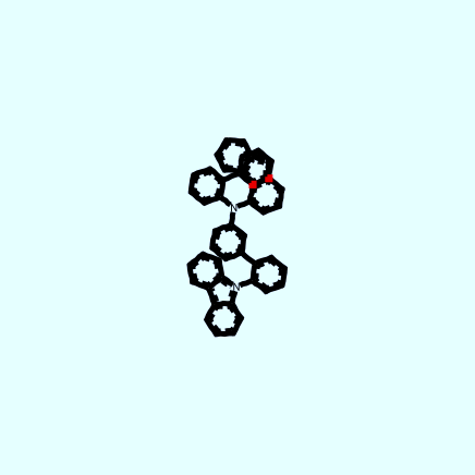 c1ccc(-c2ccccc2N(c2cccc(-c3ccccc3-n3c4ccccc4c4ccccc43)c2)c2cccc3sc4ccccc4c23)cc1